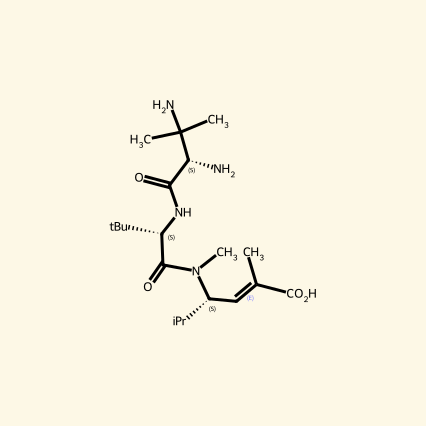 C/C(=C\[C@H](C(C)C)N(C)C(=O)[C@@H](NC(=O)[C@@H](N)C(C)(C)N)C(C)(C)C)C(=O)O